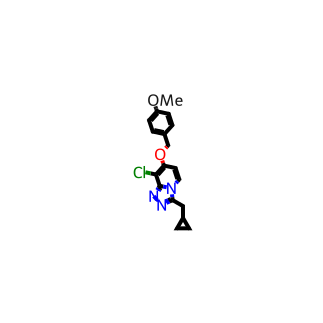 COc1ccc(COc2ccn3c(CC4CC4)nnc3c2Cl)cc1